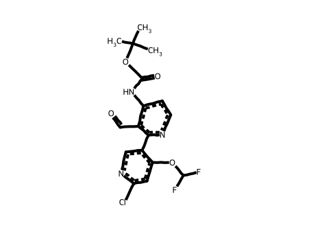 CC(C)(C)OC(=O)Nc1ccnc(-c2cnc(Cl)cc2OC(F)F)c1C=O